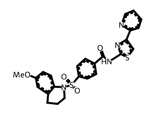 COc1ccc2c(c1)CCCN2S(=O)(=O)c1ccc(C(=O)Nc2nc(-c3ccccn3)cs2)cc1